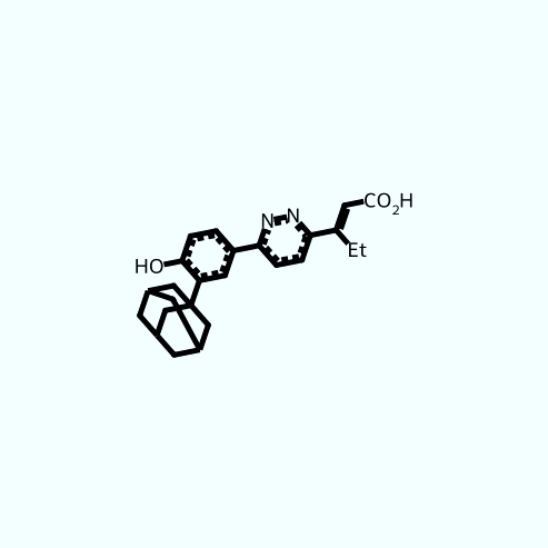 CC/C(=C\C(=O)O)c1ccc(-c2ccc(O)c(C34CC5CC(CC(C5)C3)C4)c2)nn1